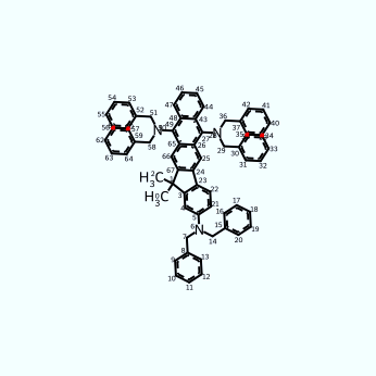 CC1(C)c2cc(N(Cc3ccccc3)Cc3ccccc3)ccc2-c2cc3c(N(Cc4ccccc4)Cc4ccccc4)c4ccccc4c(N(Cc4ccccc4)Cc4ccccc4)c3cc21